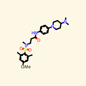 COc1cc(C)c(S(=O)(=O)N(C)CCC(=O)Nc2ccc(N3CCC(N(C)C)CC3)cc2)c(C)c1